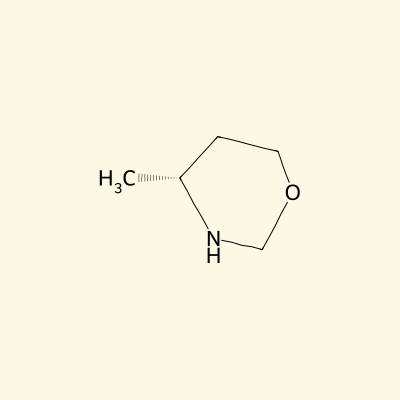 C[C@@H]1CCOCN1